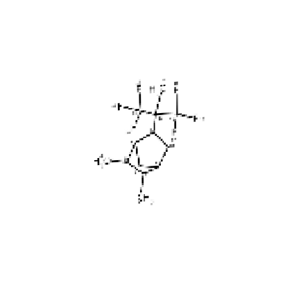 CC1C2CC(C1C)C(C(C)(C(F)(F)F)C(F)(F)F)C2